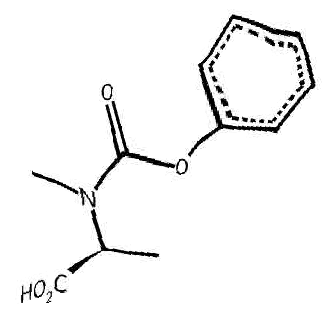 C[C@@H](C(=O)O)N(C)C(=O)Oc1ccccc1